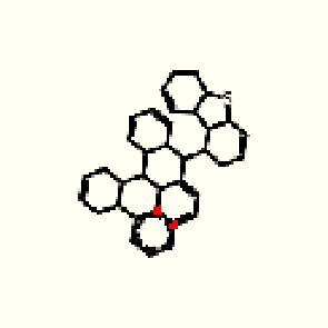 C1=CCC2C(=C1)C(C1CC=CC3SC4CCC=CC4C31)C1C=CC=CC1C2C1CC=CCC1c1ccccc1